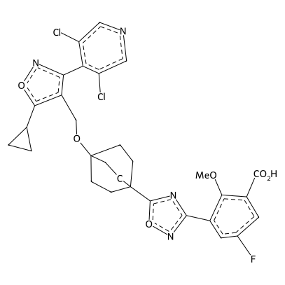 COc1c(C(=O)O)cc(F)cc1-c1noc(C23CCC(OCc4c(-c5c(Cl)cncc5Cl)noc4C4CC4)(CC2)CC3)n1